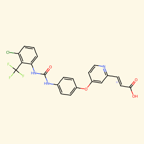 O=C(O)/C=C/c1cc(Oc2ccc(NC(=O)Nc3cccc(Cl)c3C(F)(F)F)cc2)ccn1